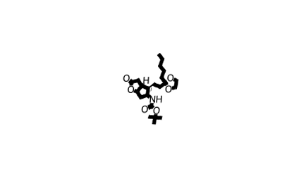 CCCCCC1(CC[C@H]2C(NC(=O)OC(C)(C)C)CC3OC(=O)C[C@@H]32)OCCO1